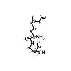 C=CCN(C)CCC[C@H](N)C(=O)N1CCC(F)(C#N)CC1